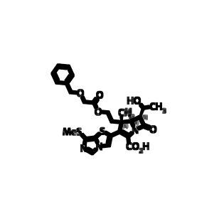 CSc1ncn2cc(C3=C(C(=O)O)N4C(=O)[C@H](C(C)O)[C@@H]4[C@@]3(C)CCOC(=O)COCc3ccccc3)sc12